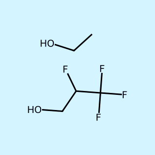 CCO.OCC(F)C(F)(F)F